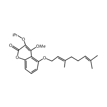 COc1c(OC(C)C)c(=O)oc2cccc(OC/C=C(\C)CCC=C(C)C)c12